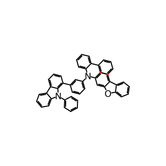 c1ccc(-c2ccccc2N(c2cccc(-c3cccc4c5ccccc5n(-c5ccccc5)c34)c2)c2ccc3c(c2)oc2ccccc23)cc1